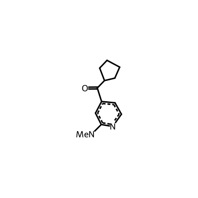 CNc1cc(C(=O)C2CCCC2)ccn1